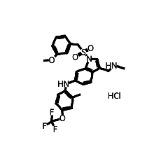 CNCc1cn(S(=O)(=O)Cc2cccc(OC)c2)c2cc(Nc3ccc(OC(F)(F)F)cc3C)ccc12.Cl